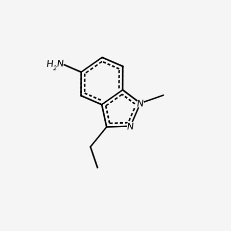 CCc1nn(C)c2ccc(N)cc12